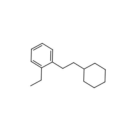 CCc1ccccc1CCC1CCCCC1